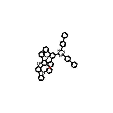 c1ccc(-c2ccc(-c3nc(-c4ccc(-c5ccccc5)cc4)nc(-c4cc(-c5ccccc5)c(-n5c6ccccc6c6c7oc8ccc9c%10ccccc%10n(-c%10ccccc%10)c9c8c7ccc65)c(-c5ccccc5)c4)n3)cc2)cc1